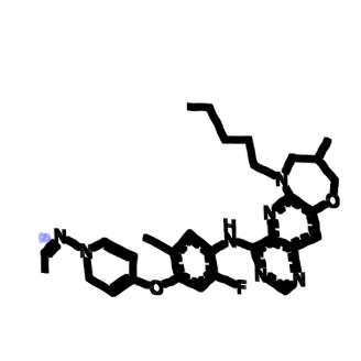 C/C=N\N1C=CC(Oc2cc(F)c(Nc3ncnc4cc5c(nc34)N(CCCCC)CC(C)CO5)cc2C)=CC1